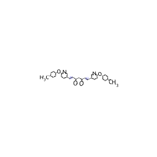 Cc1ccc(Oc2ccc(/C=C/C(=O)CC(=O)/C=C/c3ccc(Oc4ccc(C)cc4)nc3)cn2)cc1